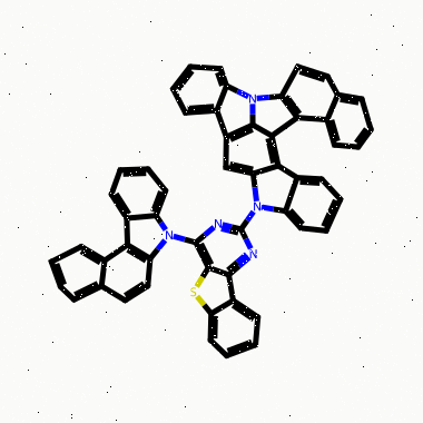 c1ccc2c(c1)ccc1c2c2ccccc2n1-c1nc(-n2c3ccccc3c3c4c5c6ccccc6ccc5n5c6ccccc6c(cc32)c45)nc2c1sc1ccccc12